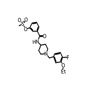 CCOc1cc(CN2CCC(NC(=O)c3cccc(OS(C)(=O)=O)c3)CC2)ccc1F